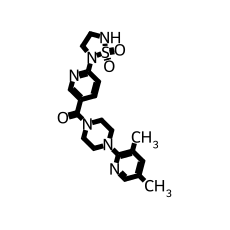 Cc1cnc(N2CCN(C(=O)c3ccc(N4CCNS4(=O)=O)nc3)CC2)c(C)c1